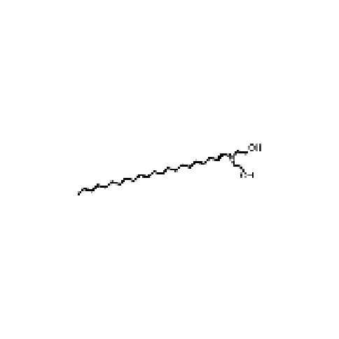 CCCCCCCCCCCCCCCCCCCCC=CN(CCO)CCO